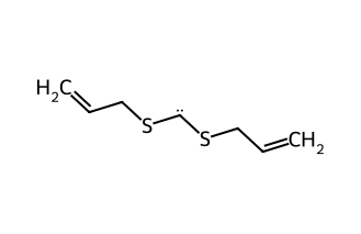 C=CCS[C]SCC=C